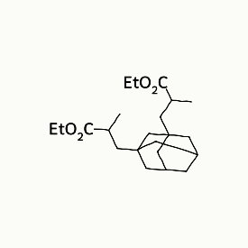 CCOC(=O)C(C)CC12CC3CC(C1)CC(CC(C)C(=O)OCC)(C3)C2